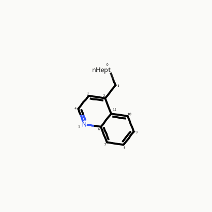 [CH2]CCCCCCCc1ccnc2ccccc12